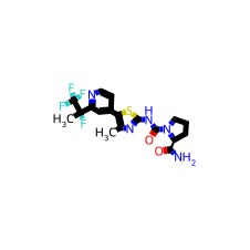 Cc1nc(NC(=O)N2CCC[C@H]2C(N)=O)sc1-c1ccnc(C(C)(F)C(F)(F)F)c1